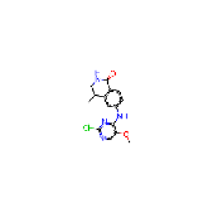 COc1cnc(Cl)nc1Nc1ccc2c(c1)C(C)CNC2=O